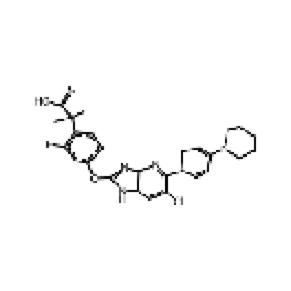 CC(C)(C(=O)O)c1ccc(OC2=NC3N=C(C4C=CC(N5CCCCC5)=CC4)C(Cl)=CC3N2)cc1F